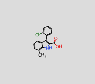 Cc1cccc2c(-c3ccccc3Cl)c(C(=O)O)[nH]c12